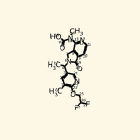 Cc1cc(C(C)N2Cc3c(ccnc3N(C)C(=O)O)C2=O)cnc1OCC(F)F